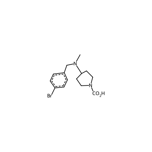 CN(Cc1ccc(Br)cc1)C1CCN(C(=O)O)CC1